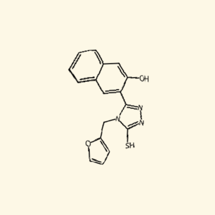 Oc1cc2ccccc2cc1-c1nnc(S)n1Cc1ccco1